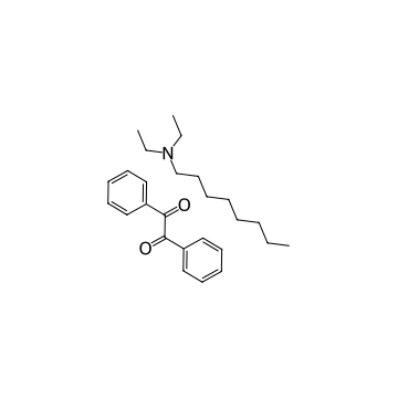 CCCCCCCCN(CC)CC.O=C(C(=O)c1ccccc1)c1ccccc1